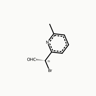 Cc1cccc([C@H](Br)C=O)n1